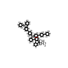 CC1(C)c2ccccc2-c2c(-c3ccccc3N(c3ccc(-c4ccc(-c5ccccc5)cc4)cc3)c3ccc(-c4ccc5c(c4)c4ccccc4n5-c4ccccc4)cc3)cccc21